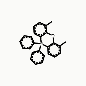 Cc1cccc2c1Oc1c(C)cccc1[Si]2(c1ccccc1)c1ccccc1